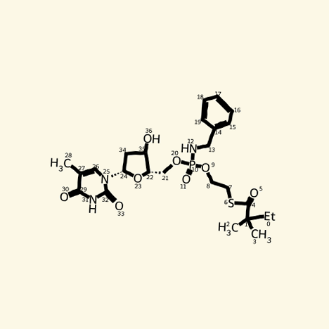 CCC(C)(C)C(=O)SCCOP(=O)(NCc1ccccc1)OC[C@@H]1O[C@H](n2cc(C)c(=O)[nH]c2=O)CC1O